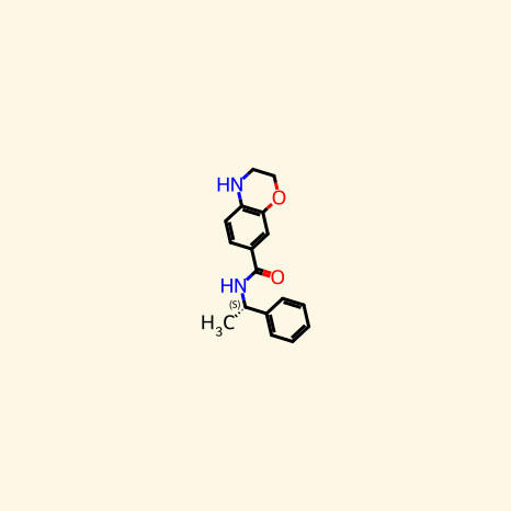 C[C@H](NC(=O)c1ccc2c(c1)OCCN2)c1ccccc1